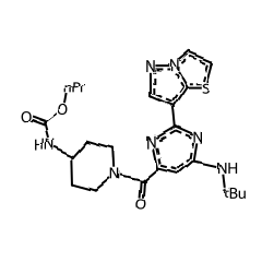 CCCOC(=O)NC1CCN(C(=O)c2cc(NC(C)(C)C)nc(-c3cnn4ccsc34)n2)CC1